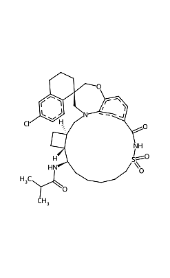 CC(C)C(=O)N[C@@H]1CCCCCS(=O)(=O)NC(=O)c2ccc3c(c2)N(C[C@@H]2CC[C@H]21)C[C@@]1(CCCc2cc(Cl)ccc21)CO3